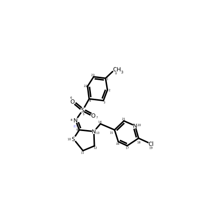 Cc1ccc(S(=O)(=O)/N=C2/SCCN2Cc2ccc(Cl)nc2)cc1